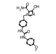 COc1ccc(NC(=O)Nc2ccc(Cn3cnc(O)c3C(N)=O)cc2)cc1